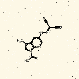 Cc1cn(C(=O)O)c2ncc(NN=C(C#N)C#N)cc12